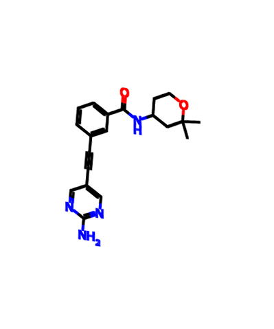 CC1(C)CC(NC(=O)c2cccc(C#Cc3cnc(N)nc3)c2)CCO1